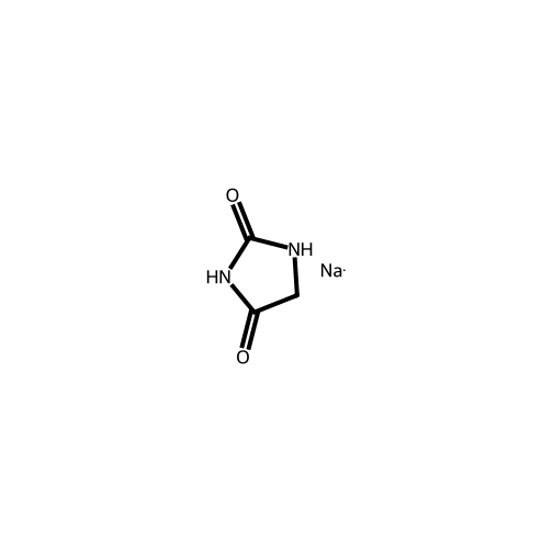 O=C1CNC(=O)N1.[Na]